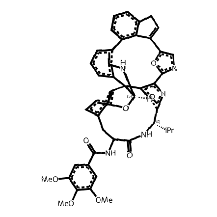 COc1cc(C(=O)NC2Cc3ccc4c(c3)C35c6cccc(c6N[C@H]3O4)-c3cccc4c3C(=CC4)c3cnc(o3)-c3nc(oc35)[C@H](C(C)C)NC2=O)cc(OC)c1OC